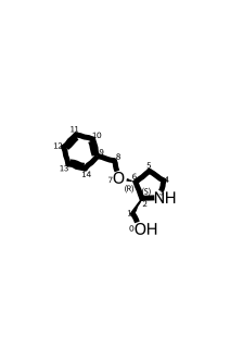 OC[C@@H]1NCC[C@H]1OCc1ccccc1